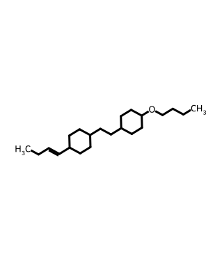 CCC=CC1CCC(CCC2CCC(OCCCC)CC2)CC1